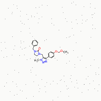 COCOc1ccc(-c2nnn(C)c2CN2CCN(Cc3ccccc3)C2=O)cc1